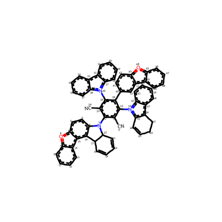 N#Cc1c(N2c3ccc4oc5ccccc5c4c3C3C=CC=CC32)c(C#N)c(-n2c3ccccc3c3ccccc32)c(-c2ccc3oc4ccccc4c3c2)c1-n1c2c(c3ccccc31)CCC=C2